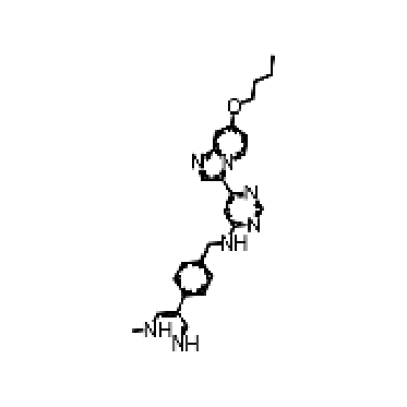 CCCCOc1ccn2c(-c3cc(NCc4ccc(/C(C=N)=C/NC)cc4)ncn3)cnc2c1